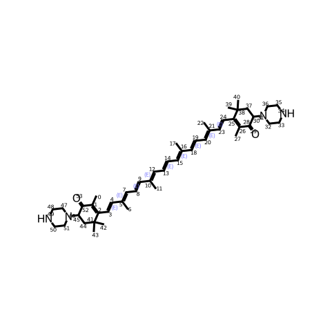 CC1=C(/C=C/C(C)=C/C=C/C(C)=C/C=C/C=C(C)/C=C/C=C(C)/C=C/C2=C(C)C(=O)C(N3CCNCC3)CC2(C)C)C(C)(C)CC(N2CCNCC2)C1=O